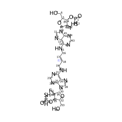 O=[PH](S)O[C@@H]1C(CO)O[C@@H](n2cnc3c(NC/C=C/CNc4ncnc5c4ncn5[C@@H]4OC(CO)[C@@H](O[PH](=O)S)[C@H]4F)ncnc32)[C@@H]1F